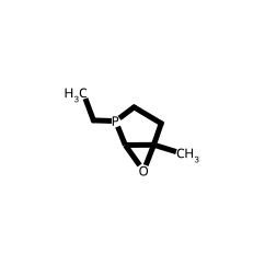 CCP1CCC2(C)OC12